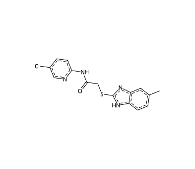 Cc1ccc2[nH]c(SCC(=O)Nc3ccc(Cl)cn3)nc2c1